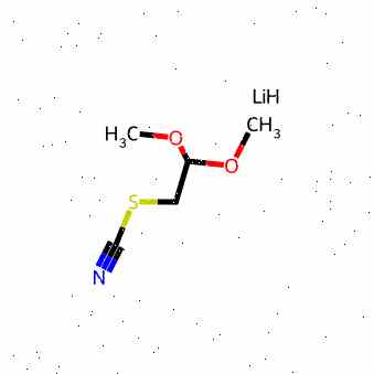 COC(CSC#N)OC.[LiH]